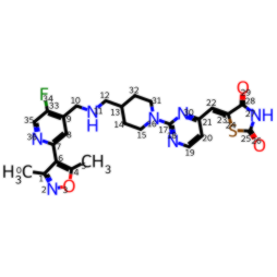 Cc1noc(C)c1-c1cc(CNCC2CCN(c3nccc(/C=C4\SC(=O)NC4=O)n3)CC2)c(F)cn1